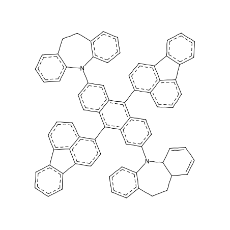 C1=CC2CCc3ccccc3N(c3ccc4c(-c5ccc6c7c(cccc57)-c5ccccc5-6)c5cc(N6c7ccccc7CCc7ccccc76)ccc5c(-c5ccc6c7c(cccc57)-c5ccccc5-6)c4c3)C2C=C1